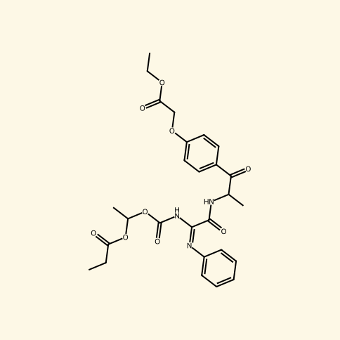 CCOC(=O)COc1ccc(C(=O)C(C)NC(=O)/C(=N\c2ccccc2)NC(=O)OC(C)OC(=O)CC)cc1